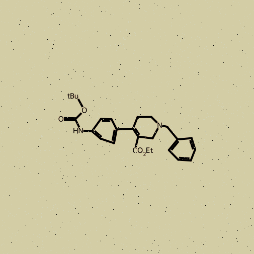 CCOC(=O)C1=C(c2ccc(NC(=O)OC(C)(C)C)cc2)CCN(Cc2ccccc2)C1